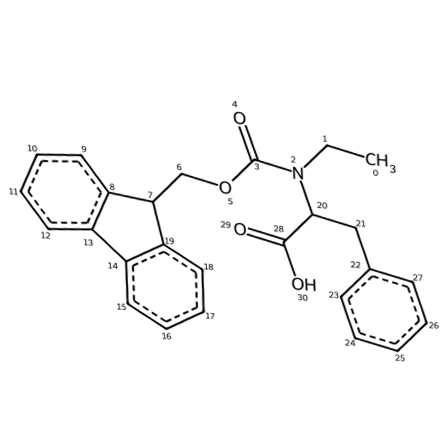 CCN(C(=O)OCC1c2ccccc2-c2ccccc21)C(Cc1ccccc1)C(=O)O